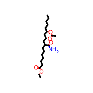 CCCCCC(CCCC(CCCCCCC(=O)OCC)C(N)=O)OC(C)=O